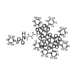 O=C(NCCCCCO[C@H]1O[C@H](COC(=O)c2ccccc2)[C@@H](O[C@@H]2O[C@H](COC(=O)c3ccccc3)C(OC(=O)c3ccccc3)[C@H](OC(=O)c3ccccc3)[C@H]2OC(=O)c2ccccc2)[C@H](OC(=O)c2ccccc2)[C@H]1OC(=O)c1ccccc1)OCc1ccccc1